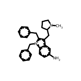 CN1CCCC1Cc1c(Cc2ccccc2)n(Cc2ccccc2)c2ccc(N)cc12